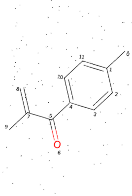 [CH2]c1ccc(C(=O)C(=C)C)cc1